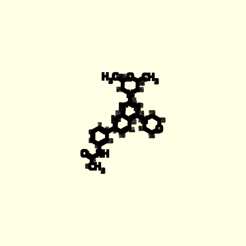 CC(=O)Nc1cccc(-c2ccc3c(N4CCOCC4)nc(N4CC(C)OC(C)C4)nc3n2)c1